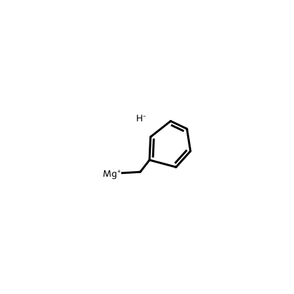 [H-].[Mg+][CH2]c1ccccc1